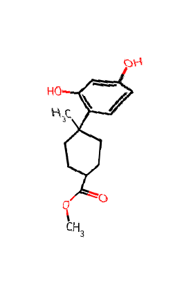 COC(=O)C1CCC(C)(c2ccc(O)cc2O)CC1